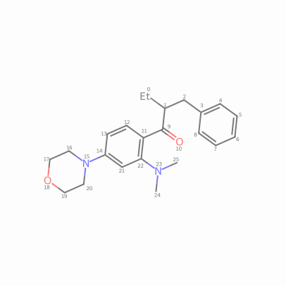 CCC(Cc1ccccc1)C(=O)c1ccc(N2CCOCC2)cc1N(C)C